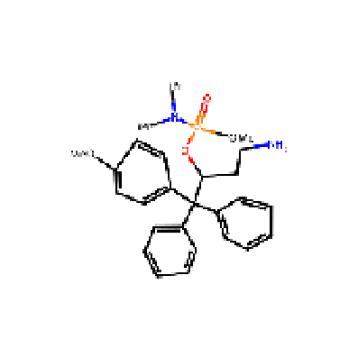 COc1ccc(C(c2ccccc2)(c2ccccc2)C(CCN)OP(=O)(OC)N(C(C)C)C(C)C)cc1